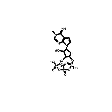 Cn1cnc2c(ncn2C2OC(OP(=O)(O)OP(=O)(O)OP(=O)(O)O)C(O)C2O)c1=N